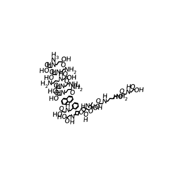 CCC(C)(NC(C)C(=O)O)C(=O)O.N.NC(=O)CCNCC(=O)O.NC(=O)CNCC(=O)O.NCCCCNCC(=O)O.NCCCNCC(=O)O.NCCNCC(=O)O.O=C(O)CCNCC(=O)O.O=C(O)CNC1CCC1.O=C(O)CNCC(=O)O.O=C(O)CNCc1ccccc1.c1ccc2ccccc2c1